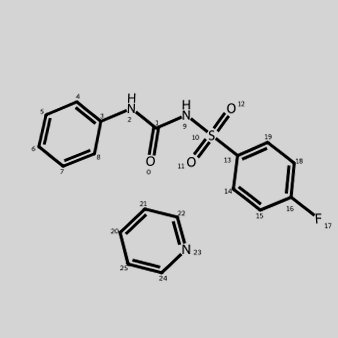 O=C(Nc1ccccc1)NS(=O)(=O)c1ccc(F)cc1.c1ccncc1